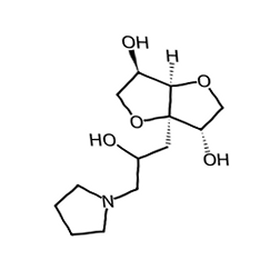 OC(CN1CCCC1)C[C@]12OC[C@@H](O)[C@H]1OC[C@@H]2O